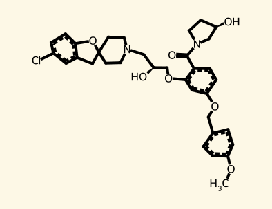 COc1ccc(COc2ccc(C(=O)N3CC[C@@H](O)C3)c(OC[C@@H](O)CN3CCC4(CC3)Cc3cc(Cl)ccc3O4)c2)cc1